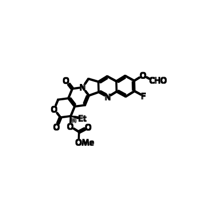 CC[C@@]1(OC(=O)OC)C(=O)OCc2c1cc1n(c2=O)Cc2cc3cc(OC=O)c(F)cc3nc2-1